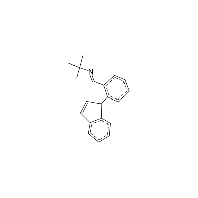 CC(C)(C)N=Cc1ccccc1C1C=Cc2ccccc21